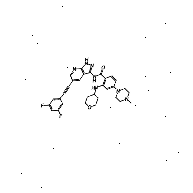 CN1CCN(c2ccc(C(=O)Nc3n[nH]c4ncc(C#Cc5cc(F)cc(F)c5)cc34)c(NC3CCOCC3)c2)CC1